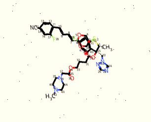 C[C@@H](S[C@H]1CO[C@H](/C=C/C=C/c2ccc(C#N)cc2F)OC1)[C@@](Cn1cncn1)(OC(=O)CCCOC(=O)CN1CCN(C)CC1)c1ccc(F)cc1F